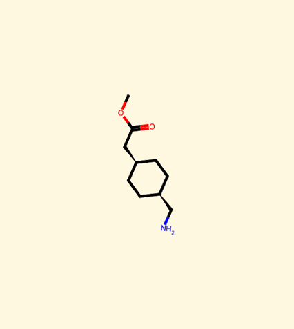 COC(=O)C[C@H]1CC[C@@H](CN)CC1